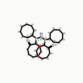 S=C1CCCCCCC1P(NP(C1CCCCCCC1)C1CCCCCCC1=S)C1CCCCCCC1